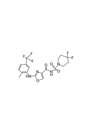 Cc1ccc(C(F)(F)F)cc1Nc1nc(C(=O)NS(=O)(=O)N2CCC(F)(F)CC2)co1